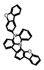 c1ccc2c(c1)N(c1ccc3oc4ccccc4c3c1)c1cccc3c4ccc5c6ccccc6oc5c4n-2c13